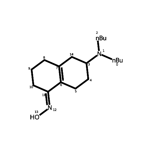 CCCCN(CCCC)C1CCC2=C(CCCC2=NO)C1